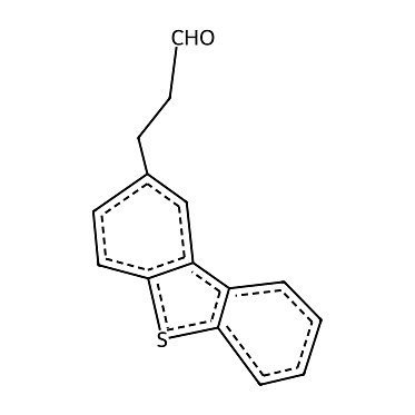 O=CCCc1ccc2sc3ccccc3c2c1